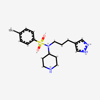 CC(C)(C)c1ccc(S(=O)(=O)N(CCCc2cn[nH]c2)C2CCNCC2)cc1